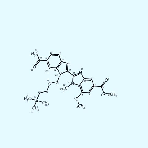 COC(=O)c1cc(OC)c2c(c1)nc(-c1cc3ccc(C(C)=O)nc3n1COCC[Si](C)(C)C)n2C